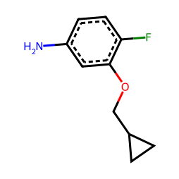 Nc1ccc(F)c(OCC2CC2)c1